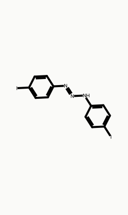 Ic1ccc(/N=N/Nc2ccc(I)cc2)cc1